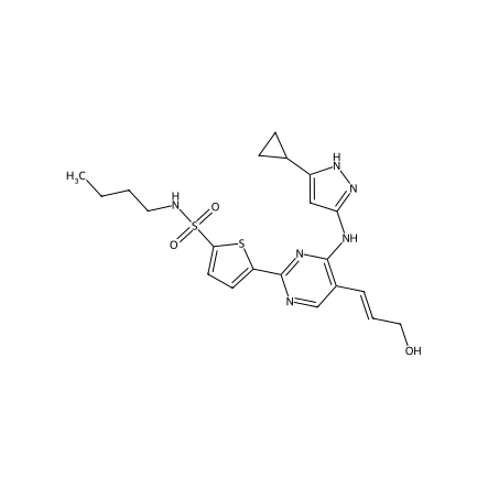 CCCCNS(=O)(=O)c1ccc(-c2ncc(C=CCO)c(Nc3cc(C4CC4)[nH]n3)n2)s1